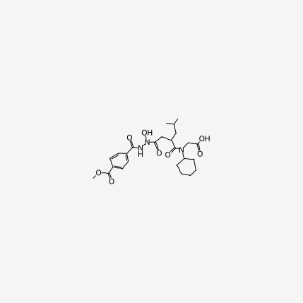 COC(=O)c1ccc(C(=O)NN(O)C(=O)CC(CC(C)C)C(=O)N(CC(=O)O)C2CCCCC2)cc1